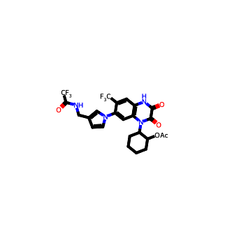 CC(=O)OC1CCCCC1n1c(=O)c(=O)[nH]c2cc(C(F)(F)F)c(-n3ccc(CNC(=O)C(F)(F)F)c3)cc21